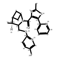 Cc1nc(C(=O)N2C3CC(C3)[C@H](C)C2COc2ccc(F)cn2)c(-c2ccccn2)s1